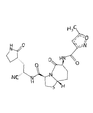 Cc1cc(C(=O)N[C@H]2CC[C@@H]3SC[C@@H](C(=O)N[C@H](C#N)C[C@@H]4CCNC4=O)N3C2=O)no1